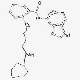 O=C(Nc1cccc2[nH]ccc12)c1ccccc1OCCCNC1CCCCC1